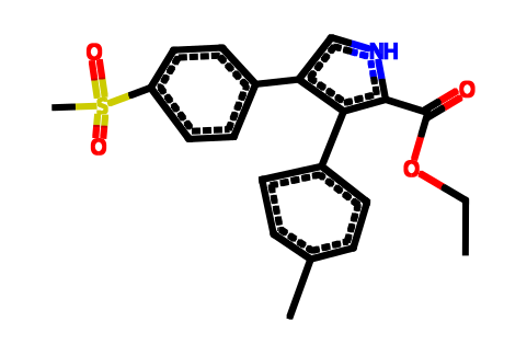 CCOC(=O)c1[nH]cc(-c2ccc(S(C)(=O)=O)cc2)c1-c1ccc(C)cc1